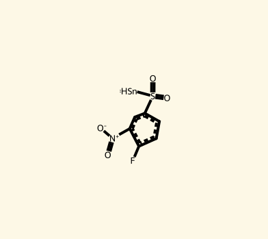 O=[N+]([O-])c1cc([S](=O)(=O)[SnH])ccc1F